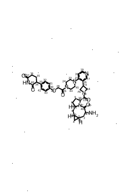 N[C@H]1C[C@@H]2C[C@@H]2C[C@H]2CC[C@@H](C(=O)N3CC(c4cnccc4N4CCN(C(=O)COc5ccc(C6CCC(=O)NC6=O)cc5)CC4)C3)N2C1=O